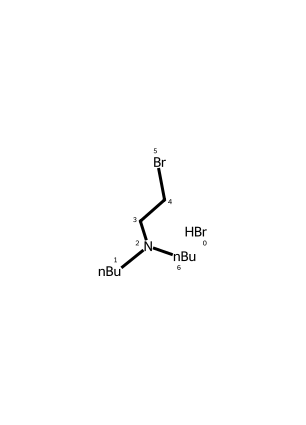 Br.CCCCN(CCBr)CCCC